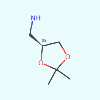 CC1(C)OC[C@H](C[NH])O1